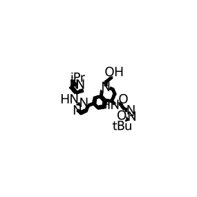 CC(C)n1cc(Nc2nccc(-c3ccc4c(c3)CN(CCO)CCC4NC(=O)c3nnc(C(C)(C)C)o3)n2)cn1